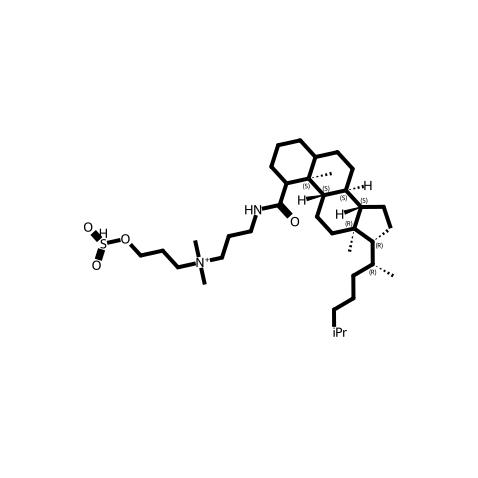 CC(C)CCC[C@@H](C)[C@H]1CC[C@H]2[C@@H]3CCC4CCCC(C(=O)NCCC[N+](C)(C)CCCO[SH](=O)=O)[C@]4(C)[C@H]3CC[C@]12C